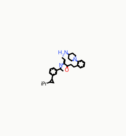 C/C=C(\N=C(/C)c1cccc(C2CC2C(C)C)c1)C(=O)CCc1ccccc1N1CCC(N)CC1